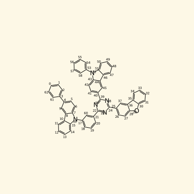 c1ccc(-c2ccc3c(c2)c2ccccc2n3-c2cccc(-c3nc(-c4ccc5oc6ccccc6c5c4)nc(-c4ccc5c(c4)c4ccccc4n5-c4ccccc4)n3)c2)cc1